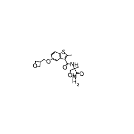 Cc1sc2ccc(OCC3COC3)cc2c1C(=O)NC(C)(CO)C(N)=O